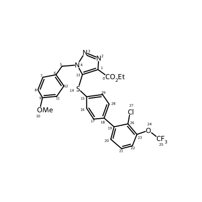 CCOC(=O)c1nnn(Cc2ccc(OC)cc2)c1Sc1ccc(-c2cccc(OC(F)(F)F)c2Cl)cc1